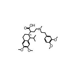 COc1ccc(CCN(C)CCC(C(=O)O)[C@@H]2CCc3cc(OC)c(OC)cc3C2C(C)C)cc1OC